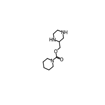 O=C(OCC1CNCCN1)N1CCCCC1